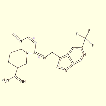 C=N/C=C\C(=N/Cc1cnc2cnc(C(F)(F)F)cn12)N1CCCC(C(=N)N)C1